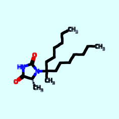 CCCCCCCC(C)(CCCCCC)N1C(=O)NC(=O)[C@H]1C